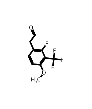 COc1ccc(CC=O)c(F)c1C(F)(F)F